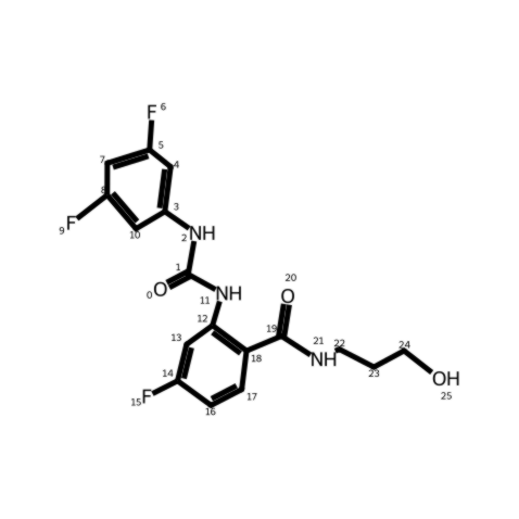 O=C(Nc1cc(F)cc(F)c1)Nc1cc(F)ccc1C(=O)NCCCO